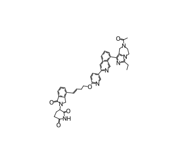 CCc1nc(-c2cccc3cc(-c4ccc(OCC/C=C/c5cccc6c5CN(C5CCC(=O)NC5=O)C6=O)nc4)ncc23)c2n1CCN(C(C)=O)C2